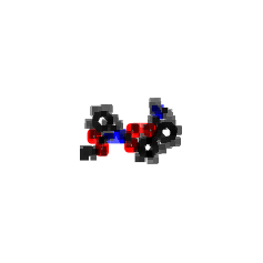 CC(C)OC(=O)CC1(CNC(=O)Oc2cccc([C@@]3(O)CCCC[C@@H]3CN(C)C)c2)CCCCC1